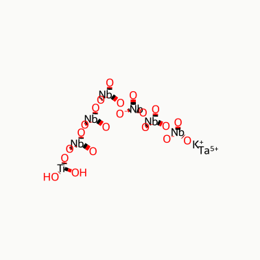 [K+].[O]=[Nb](=[O])[O-].[O]=[Nb](=[O])[O-].[O]=[Nb](=[O])[O-].[O]=[Nb](=[O])[O-].[O]=[Nb](=[O])[O-].[O]=[Nb](=[O])[O-].[O]=[Ti]([OH])[OH].[Ta+5]